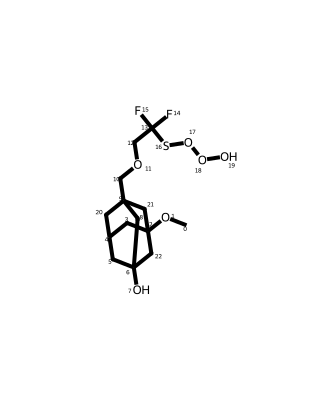 COC12CC3CC(O)(CC(COCC(F)(F)SOOO)(C3)C1)C2